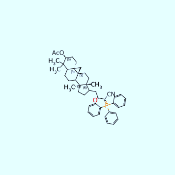 CC(=O)O[C@H]1CC[C@]23C[C@]24CC[C@]2(C)C(CC(=O)C(C#N)=P(c5ccccc5)(c5ccccc5)c5ccccc5)CC[C@@]2(C)C4CCC3C1(C)C